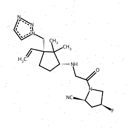 C=C[C@]1(Cn2ccnn2)CC[C@@H](NCC(=O)N2C[C@@H](F)C[C@H]2C#N)C1(C)C